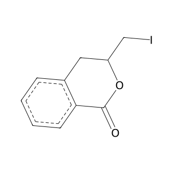 O=C1OC(CI)Cc2ccccc21